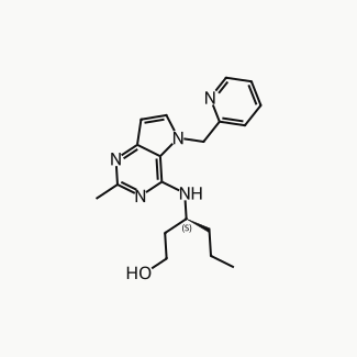 CCC[C@@H](CCO)Nc1nc(C)nc2ccn(Cc3ccccn3)c12